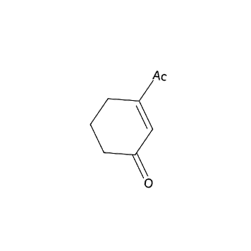 CC(=O)C1=CC(=O)CCC1